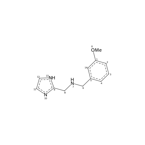 COc1cccc(CNCc2ncc[nH]2)c1